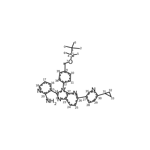 CC(C)(C)[Si](C)(C)OCc1ccc(-n2c(-c3cccnc3N)nc3ccc(-c4ccc(C5CC5)nc4)nc32)cc1